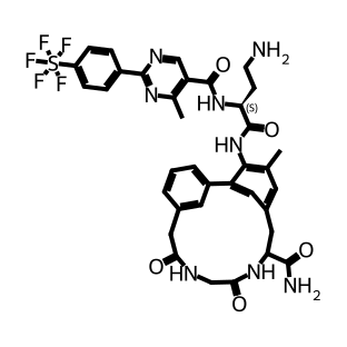 Cc1cc2cc(c1NC(=O)[C@H](CCN)NC(=O)c1cnc(-c3ccc(S(F)(F)(F)(F)F)cc3)nc1C)-c1cccc(c1)CC(=O)NCC(=O)NC(C(N)=O)C2